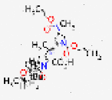 C=CCOC(=O)N(C)[C@H]1C[C@@H](/C=C(\C)C2=C(C(=O)O)N3C(=O)[C@H]([C@@](C)(O[SiH](C)C)C(C)(C)C)[C@H]3C2)N(C(=O)OCC=C)C1